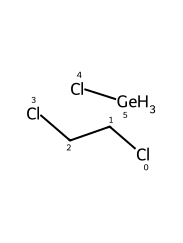 ClCCCl.[Cl][GeH3]